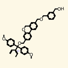 C=C/C(=C\C)C(OCc1ccc2c(c1)OCc1cc(COCc3cccc(CO)c3)ccc1-2)(c1ccc(OC)cc1)c1ccc(OC)cc1